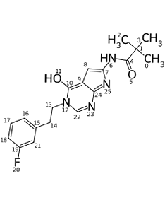 CC(C)(C)C(=O)Nc1cc2c(O)n(CCc3cccc(F)c3)cnc-2n1